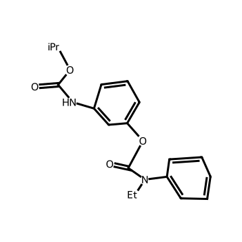 CCN(C(=O)Oc1cccc(NC(=O)OC(C)C)c1)c1ccccc1